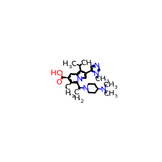 C=C(c1c(C)c(C(=O)O)cc2c(C(C)C)c(-c3cncn3C)cn12)N1CCC(N(C)C)CC1